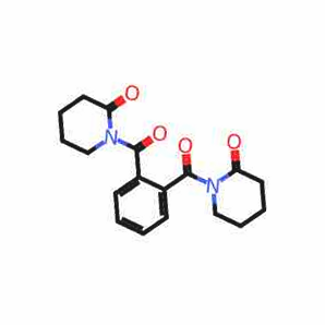 O=C1CCCCN1C(=O)c1ccccc1C(=O)N1CCCCC1=O